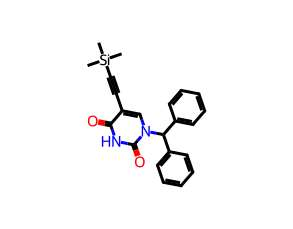 C[Si](C)(C)C#Cc1cn(C(c2ccccc2)c2ccccc2)c(=O)[nH]c1=O